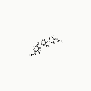 COc1ccc(OB(O)OB(O)Oc2ccc(OC)c(F)c2)cc1F